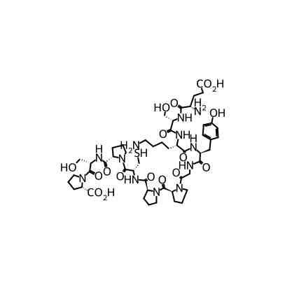 NCCCC[C@H](NC(=O)[C@H](CO)NC(=O)[C@@H](N)CCC(=O)O)C(=O)N[C@@H](Cc1ccc(O)cc1)C(=O)NCC(=O)N1CCC[C@H]1C(=O)N1CCC[C@H]1C(=O)N[C@@H](CS)C(=O)N1CCC[C@H]1C(=O)N[C@@H](CO)C(=O)N1CCC[C@H]1C(=O)O